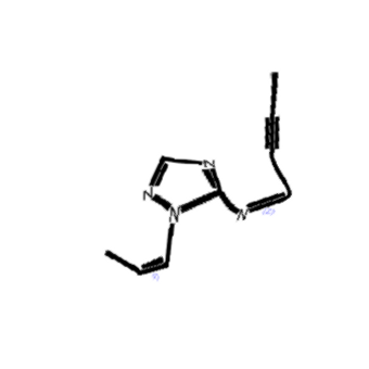 CC#C/C=N\c1ncnn1/C=C\C